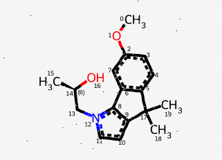 COc1ccc2c(c1)-c1c(ccn1C[C@@H](C)O)C2(C)C